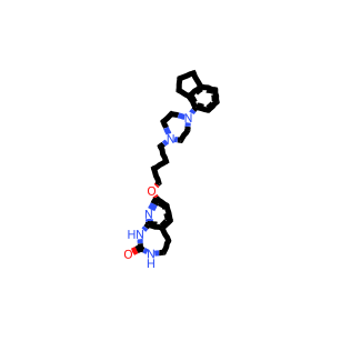 O=C1NCCc2ccc(OCCCCN3CCN(c4cccc5c4CCC5)CC3)nc2N1